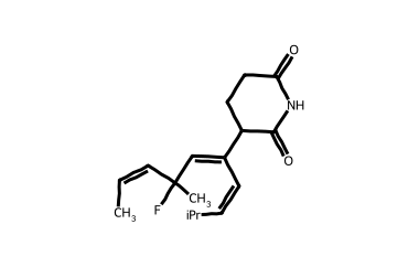 C/C=C\C(C)(F)/C=C(\C=C/C(C)C)C1CCC(=O)NC1=O